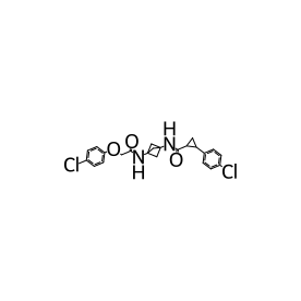 O=C(COc1ccc(Cl)cc1)NC12CC(NC(=O)C3CC3c3ccc(Cl)cc3)(C1)C2